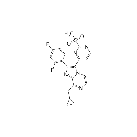 CS(=O)(=O)c1nccc(-c2c(-c3ccc(F)cc3F)nc3c(CC4CC4)nccn23)n1